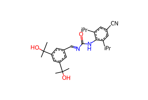 CC(C)c1cc(C#N)cc(C(C)C)c1NC(=O)N=Cc1cc(C(C)(C)O)cc(C(C)(C)O)c1